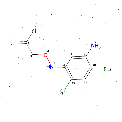 C=C(Cl)CONc1cc(N)c(F)cc1Cl